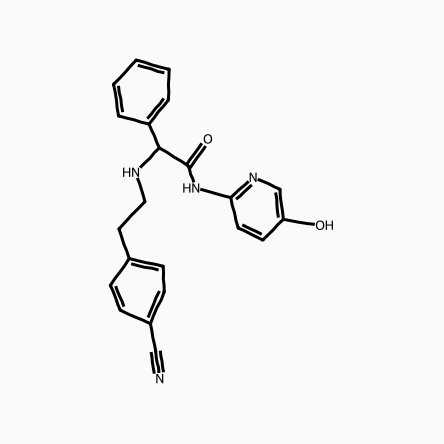 N#Cc1ccc(CCNC(C(=O)Nc2ccc(O)cn2)c2ccccc2)cc1